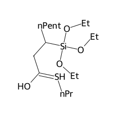 CCCCCC(CC(O)=[SH]CCC)[Si](OCC)(OCC)OCC